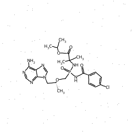 CC(C)OC(=O)C(C)(C)NP(=O)(CO[C@H](C)Cn1cnc2c(N)ncnc21)NC(=O)c1ccc(Cl)cc1